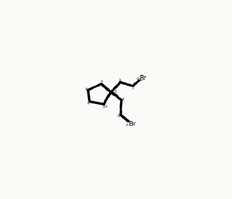 BrCCC1(CCBr)CCCC1